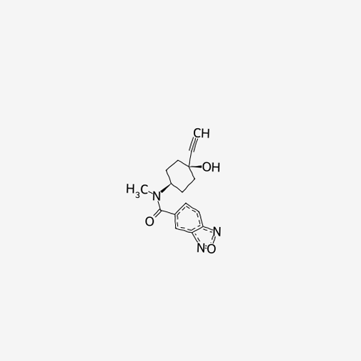 C#C[C@]1(O)CC[C@@H](N(C)C(=O)c2ccc3nonc3c2)CC1